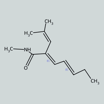 CC/C=C/C=C(\C=C(C)C)C(=O)NC